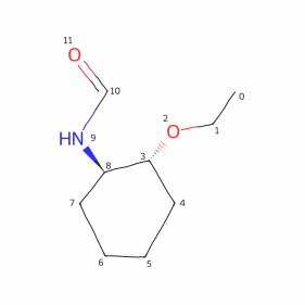 CCO[C@@H]1CCCC[C@H]1NC=O